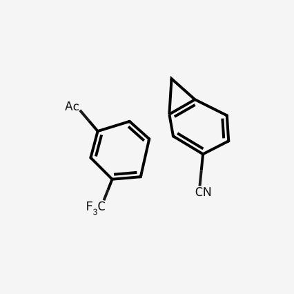 CC(=O)c1cccc(C(F)(F)F)c1.N#Cc1ccc2c(c1)C2